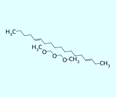 CCC=CCCCCCCCCC=CCCCC.COCOCOC